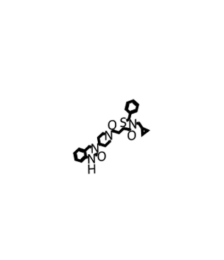 O=C(CC1SC(c2ccccc2)N(CC2CC2)C1=O)N1CCC(N2Cc3ccccc3NC2=O)CC1